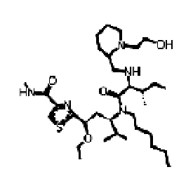 CCCCCCN(C(=O)[C@@H](NCC1CCCCN1CCO)[C@@H](C)CC)[C@H](C[C@@H](OCC)c1nc(C(=O)NC)cs1)C(C)C